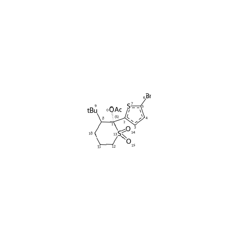 CC(=O)O[C@@]1(c2ccc(Br)s2)C(C(C)(C)C)CCCS1(=O)=O